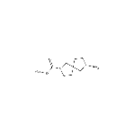 CC(C)(C)OC(=O)N1CCC2(CCC(N)C2)C1